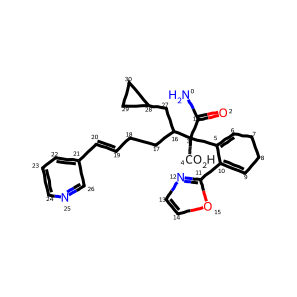 NC(=O)C(C(=O)O)(C1=CCCC=C1c1ncco1)C(CCC=Cc1cccnc1)CC1CC1